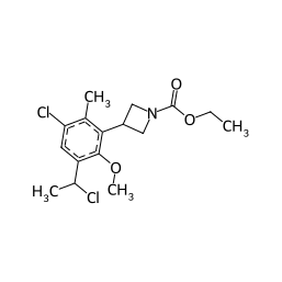 CCOC(=O)N1CC(c2c(C)c(Cl)cc(C(C)Cl)c2OC)C1